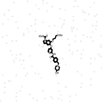 CNC(=O)n1ccc2cc(Oc3ccnc(NC(=O)c4ccc(CN5CCC(O)CC5)cc4)c3)c(OCCCOC)cc21